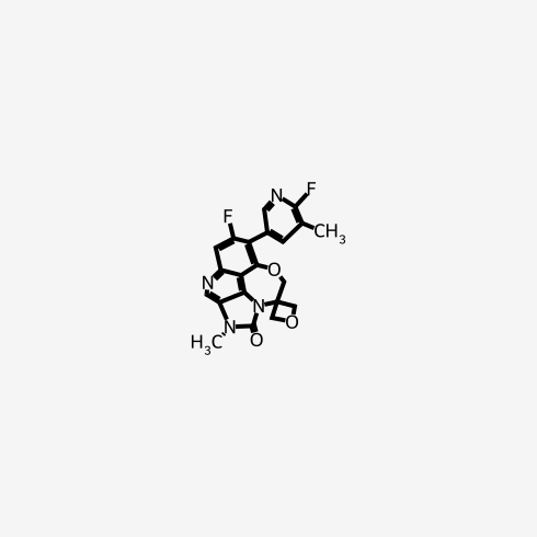 Cc1cc(-c2c(F)cc3ncc4c5c3c2OCC2(COC2)n5c(=O)n4C)cnc1F